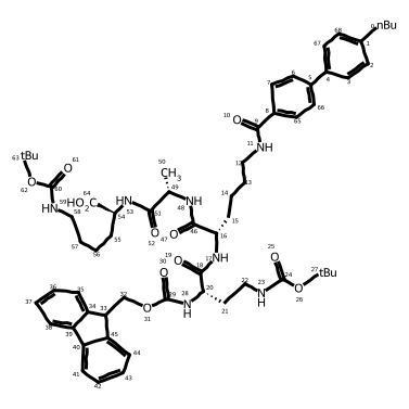 CCCCc1ccc(-c2ccc(C(=O)NCCCC[C@H](NC(=O)[C@H](CCNC(=O)OC(C)(C)C)NC(=O)OCC3c4ccccc4-c4ccccc43)C(=O)N[C@@H](C)C(=O)N[C@@H](CCCCNC(=O)OC(C)(C)C)C(=O)O)cc2)cc1